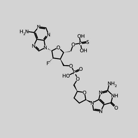 Nc1nc2c(ncn2[C@H]2CC[C@@H](COP(=O)(O)OC[C@H]3[C@H](F)[C@H](n4cnc5c(N)ncnc54)O[C@@H]3COP(O)(O)=S)O2)c(=O)[nH]1